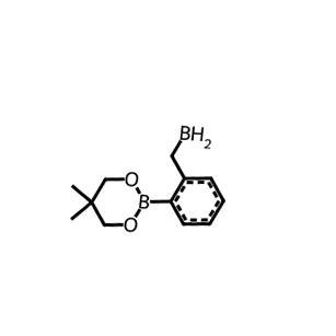 BCc1ccccc1B1OCC(C)(C)CO1